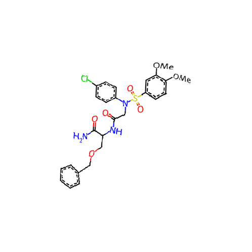 COc1ccc(S(=O)(=O)N(CC(=O)NC(COCc2ccccc2)C(N)=O)c2ccc(Cl)cc2)cc1OC